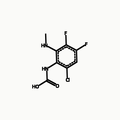 CNc1c(F)c(F)cc(Cl)c1NC(=O)O